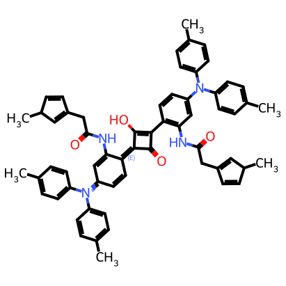 Cc1ccc(N(c2ccc(C)cc2)c2ccc(C3=C(O)/C(=C4/C=CC(=[N+](c5ccc(C)cc5)c5ccc(C)cc5)C=C4NC(=O)CC4=CC(C)C=C4)C3=O)c(NC(=O)CC3=CC(C)C=C3)c2)cc1